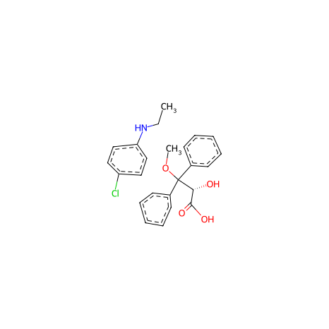 CCNc1ccc(Cl)cc1.COC(c1ccccc1)(c1ccccc1)[C@H](O)C(=O)O